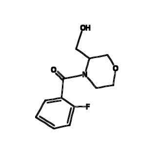 O=C(c1ccccc1F)N1CCOCC1CO